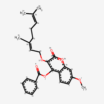 COc1ccc2c(OC(=O)c3ccccc3)c(OCC=C(C)CCC=C(C)C)c(=O)oc2c1